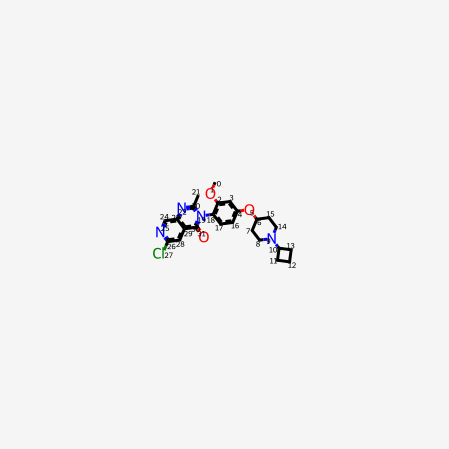 COc1cc(OC2CCN(C3CCC3)CC2)ccc1-n1c(C)nc2cnc(Cl)cc2c1=O